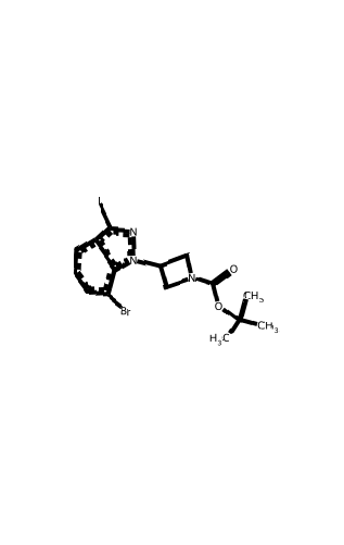 CC(C)(C)OC(=O)N1CC(n2nc(I)c3cccc(Br)c32)C1